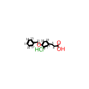 Cl.O=C(O)CCc1ccc(OCc2ccccc2)cc1